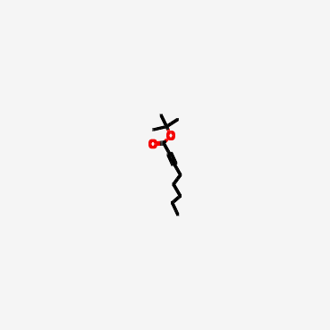 CCCCCC#CC(=O)OC(C)(C)C